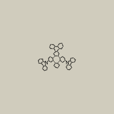 c1ccc2c(c1)-c1cc(-n3c4ccccc4c4ccccc43)ccc1-c1cc3c4ccccc4c4ccccc4c3cc1-c1ccc(-n3c4ccccc4c4ccccc43)cc1-2